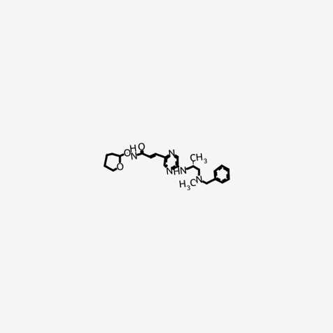 C[C@H](CN(C)Cc1ccccc1)Nc1cnc(/C=C/C(=O)NOC2CCCCO2)cn1